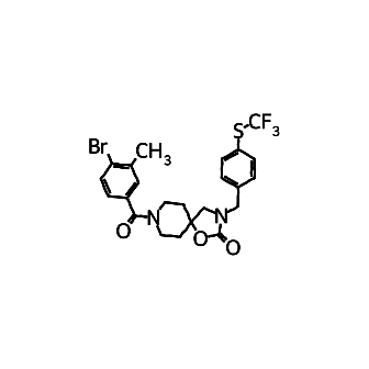 Cc1cc(C(=O)N2CCC3(CC2)CN(Cc2ccc(SC(F)(F)F)cc2)C(=O)O3)ccc1Br